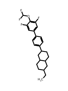 CCC1CCC2CC(c3ccc(-c4cc(F)c(OC(F)F)c(F)c4)cc3)CCC2C1